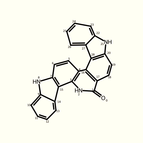 O=c1[nH]c2c(ccc3[nH]c4ccccc4c32)c2c1ccc1[nH]c3ccccc3c12